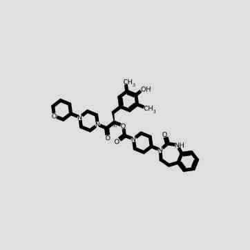 Cc1cc(C[C@@H](OC(=O)N2CCC(N3CCc4ccccc4NC3=O)CC2)C(=O)N2CCN(C3CCCOC3)CC2)cc(C)c1O